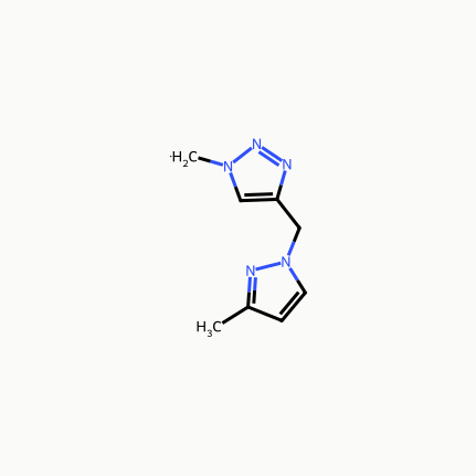 [CH2]n1cc(Cn2ccc(C)n2)nn1